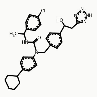 CC(NC(=O)N(Cc1ccc(C(O)Cc2nn[nH]n2)cc1)c1ccc(C2CCCCC2)cc1)c1ccc(Cl)cc1